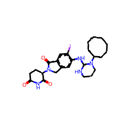 O=C1CCC(N2Cc3cc(NC4NCCCN4C4CCCCCCC4)c(I)cc3C2=O)C(=O)N1